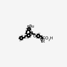 CCCCc1ccc2c(c1)C=Cc1c(CCc3ccccc3)cccc1C2OCCOc1ccc(CC(OCC)C(=O)O)cc1